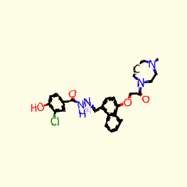 CN1CCCN(C(=O)COc2ccc(/C=N/NC(=O)c3ccc(O)c(Cl)c3)c3ccccc23)CC1